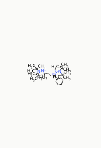 C/C(CC/C(=N/N([Si](C)(C)C)[Si](C)(C)C)c1ccccc1)=N\N([Si](C)(C)C)[Si](C)(C)C